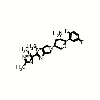 Cc1nc(-c2nc3c(n2C)CN([C@H]2CO[C@H](c4cc(F)ccc4F)[C@@H](N)C2)C3)n(C)n1